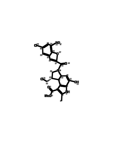 COC(=O)c1c(C)[nH]c2c1C1C(C=C2O)N(C(=O)c2cc3cc(Cl)cc([N+](=O)[O-])c3o2)C[C@H]1CCl